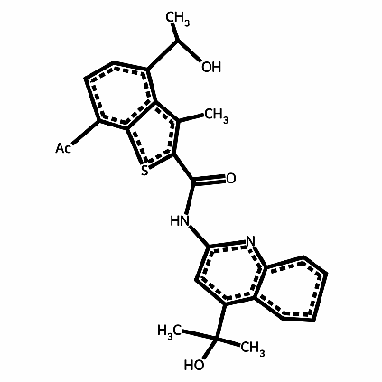 CC(=O)c1ccc(C(C)O)c2c(C)c(C(=O)Nc3cc(C(C)(C)O)c4ccccc4n3)sc12